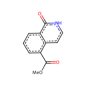 COC(=O)c1cccc2c(=O)[nH]ccc12